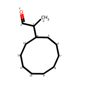 CC(C=O)C1CCCCCCCCC1